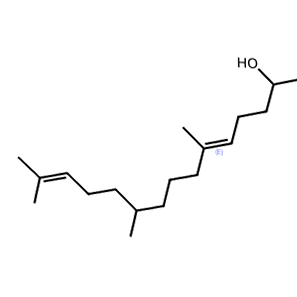 CC(C)=CCCC(C)CCC/C(C)=C/CCC(C)O